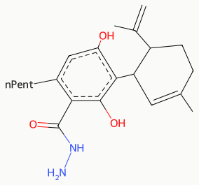 C=C(C)C1CCC(C)=CC1c1c(O)cc(CCCCC)c(C(=O)NN)c1O